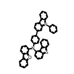 c1ccc(-n2c3ccccc3c3ccc(-c4ccc(N(c5cccc6c5oc5ccccc56)c5cccc6sc7ccccc7c56)cc4)cc32)cc1